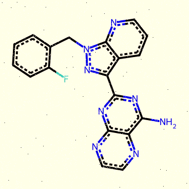 Nc1nc(-c2nn(Cc3ccccc3F)c3ncccc23)nc2nccnc12